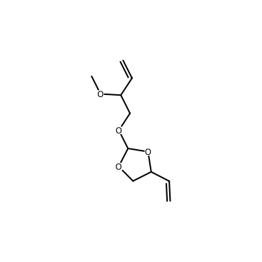 C=CC(COC1OCC(C=C)O1)OC